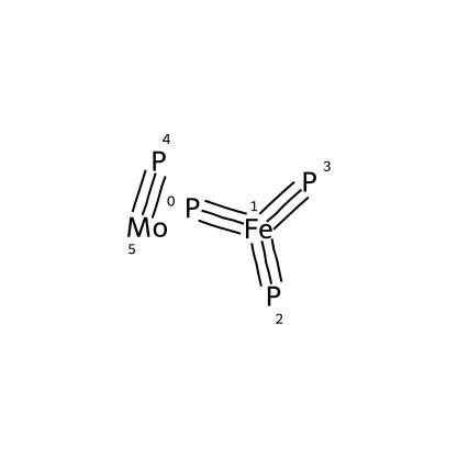 [P]#[Fe](#[P])#[P].[P]#[Mo]